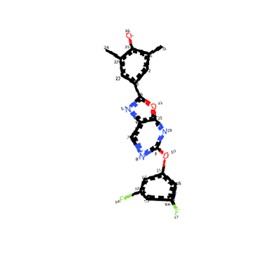 Cc1cc(-c2nc3cnc(Oc4cc(F)cc(F)c4)nc3o2)cc(C)c1[O]